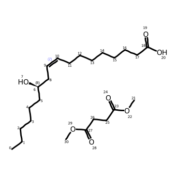 CCCCCC[C@@H](O)C/C=C\CCCCCCCC(=O)O.COC(=O)CCC(=O)OC